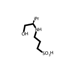 CC(C)[C@H](CO)NCCCS(=O)(=O)O